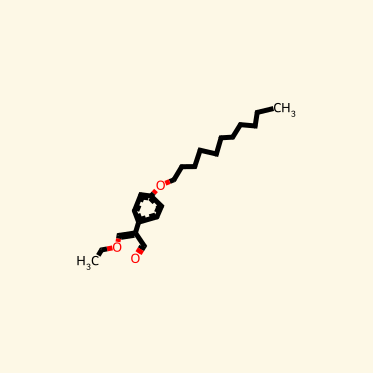 CCCCCCCCCCCOc1ccc(C(C=O)=COCC)cc1